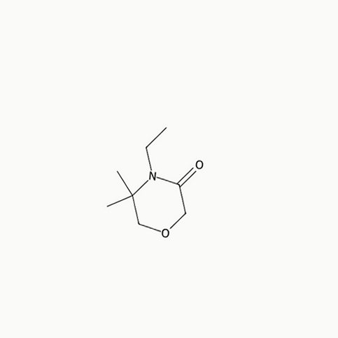 CCN1C(=O)COCC1(C)C